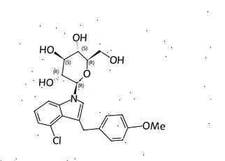 COc1ccc(Cc2cn([C@@H]3O[C@H](CO)[C@@H](O)[C@H](O)[C@H]3O)c3cccc(Cl)c23)cc1